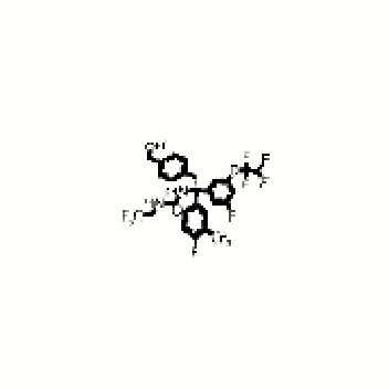 O=C(NCC(F)(F)F)N[C@@](Cc1ccc(CO)cc1)(c1cc(F)cc(OC(F)(F)C(F)F)c1)c1ccc(F)c(C(F)(F)F)c1